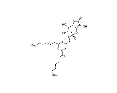 CCCCCCCCCCCCCCCC(=O)OC[C@H](COP(=O)(O)OC1=C(O)C(=O)O[C@@H]1[C@@H](O)CO)OC(=O)CCCCCCCCCCCCCCC